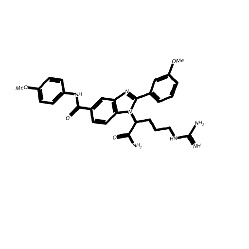 COc1ccc(NC(=O)c2ccc3c(c2)nc(-c2cccc(OC)c2)n3C(CCCNC(=N)N)C(N)=O)cc1